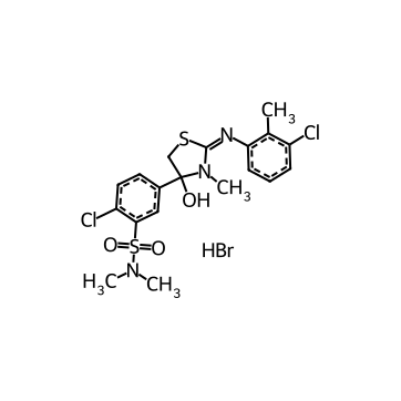 Br.Cc1c(Cl)cccc1/N=C1/SCC(O)(c2ccc(Cl)c(S(=O)(=O)N(C)C)c2)N1C